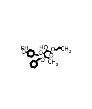 C=CCO[C@@H]1O[C@@H](C)[C@H](OCc2ccccc2)[C@@H](OCc2ccc(OC)cc2)[C@H]1O